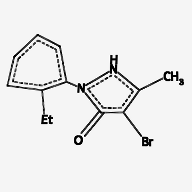 CCc1ccccc1-n1[nH]c(C)c(Br)c1=O